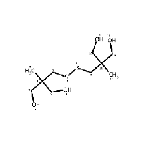 CC(CO)(CO)CSSCC(C)(CO)CO